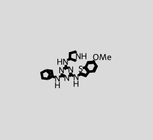 COc1ccc2cc(Nc3nc(NC4CCNC4)nc(NC4CC5CCC4C5)n3)sc2c1